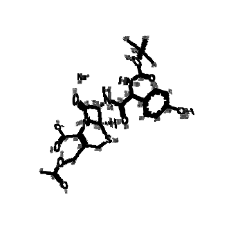 CC(=O)OCC1=C(C(=O)[O-])N2C(=O)[C@H](NC(=O)C(NC(=O)OC(C)(C)C)c3ccc(O)cc3)[C@H]2SC1.[Na+]